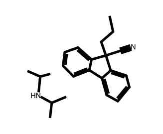 CC(C)NC(C)C.CCCC1(C#N)c2ccccc2-c2ccccc21